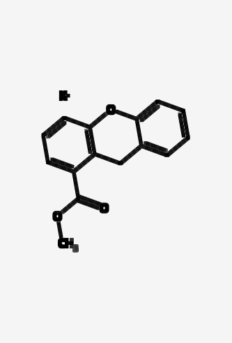 COC(=O)c1cccc2c1Cc1ccccc1O2.[K]